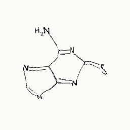 NC1=NC(=S)N=C2N=CN=C12